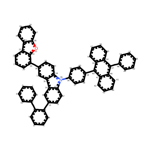 c1ccc(-c2ccccc2-c2ccc3c(c2)c2cc(-c4cccc5c4oc4ccccc45)ccc2n3-c2ccc(-c3c4ccccc4c(-c4ccccc4)c4ccccc34)cc2)cc1